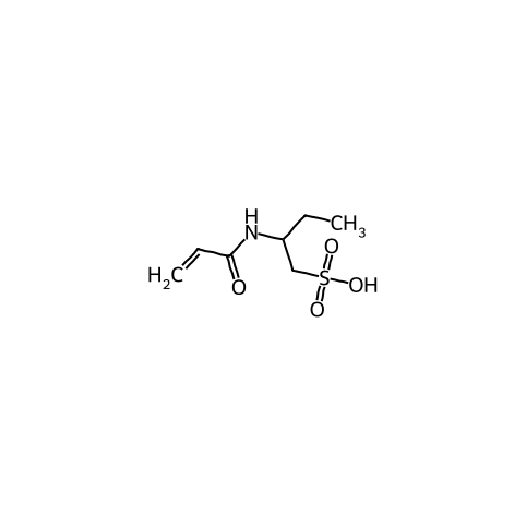 C=CC(=O)NC(CC)CS(=O)(=O)O